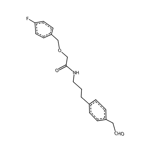 O=CCc1ccc(CCCNC(=O)COCc2ccc(F)cc2)cc1